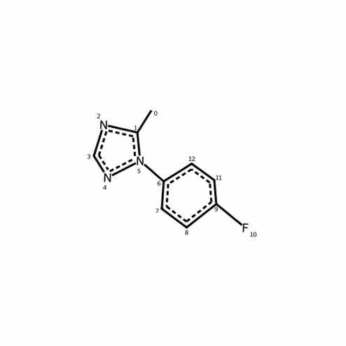 Cc1ncnn1-c1ccc(F)cc1